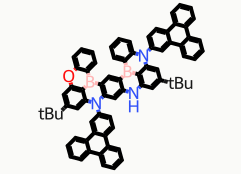 CC(C)(C)c1cc2c3c(c1)N(c1ccc4c5ccccc5c5ccccc5c4c1)c1ccccc1B3c1cc3c(cc1N2)N(c1ccc2c4ccccc4c4ccccc4c2c1)c1cc(C(C)(C)C)cc2c1B3c1ccccc1O2